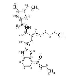 CCCCCN[C@H]1CN(c2nc3cccc(C(=O)OCC)c3s2)CC[C@H]1NC(=O)c1nc(Cl)c(CC)[nH]1